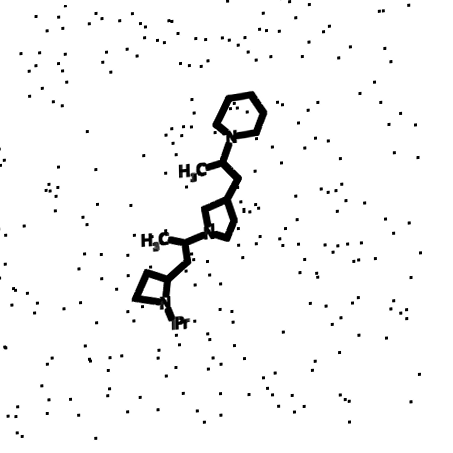 CC(CC1CCN(C(C)CC2CCN2C(C)C)C1)N1CCCCC1